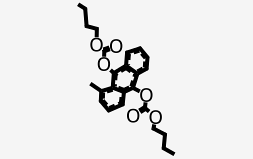 CCCCOC(=O)Oc1c2ccccc2c(OC(=O)OCCCC)c2c(C)cccc12